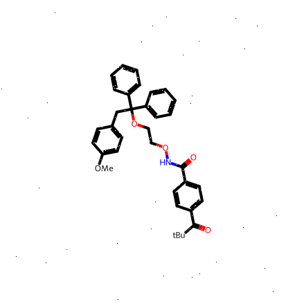 COc1ccc(CC(OCCONC(=O)c2ccc(C(=O)C(C)(C)C)cc2)(c2ccccc2)c2ccccc2)cc1